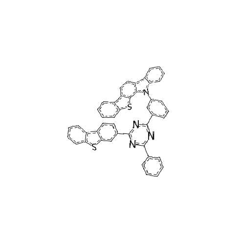 c1ccc(-c2nc(-c3cccc(-n4c5ccccc5c5ccc6c7ccccc7sc6c54)c3)nc(-c3ccc4c(c3)sc3ccccc34)n2)cc1